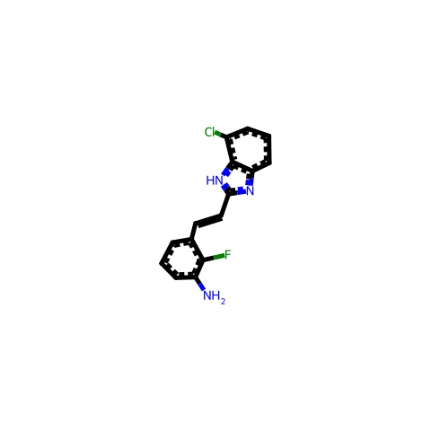 Nc1cccc(/C=C/c2nc3cccc(Cl)c3[nH]2)c1F